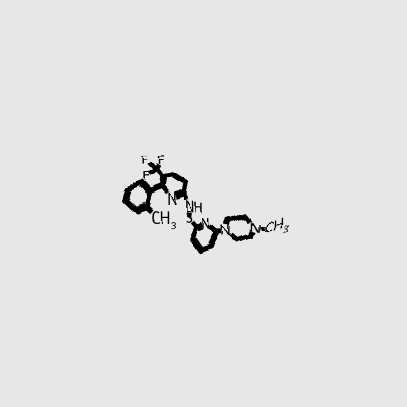 Cc1ccccc1-c1nc(NSc2cccc(N3CCN(C)CC3)n2)ccc1C(F)(F)F